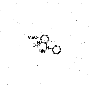 CCN(c1ccccc1)c1cccc(OC)c1[PH](=O)C(C)(C)C